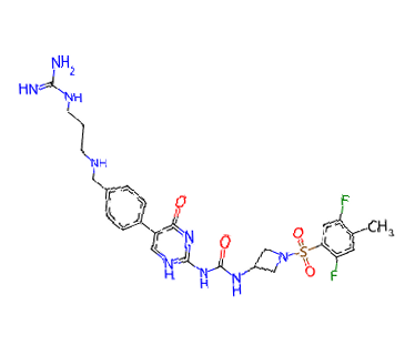 Cc1cc(F)c(S(=O)(=O)N2CC(NC(=O)Nc3nc(=O)c(-c4ccc(CNCCCNC(=N)N)cc4)c[nH]3)C2)cc1F